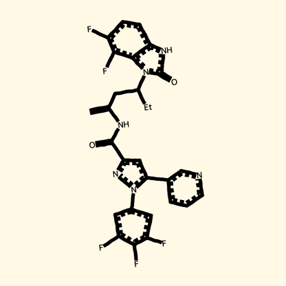 C=C(CC(CC)n1c(=O)[nH]c2ccc(F)c(F)c21)NC(=O)c1cc(-c2cccnc2)n(-c2cc(F)c(F)c(F)c2)n1